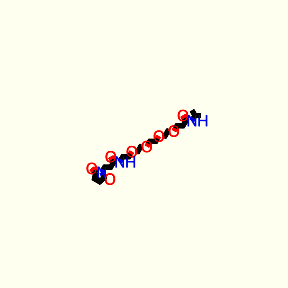 CC(C)NC(=O)CCOCCOCCOCCOCCNC(=O)CCN1C(=O)C=CC1=O